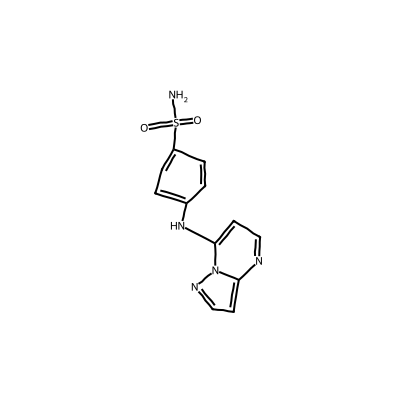 NS(=O)(=O)c1ccc(Nc2ccnc3ccnn23)cc1